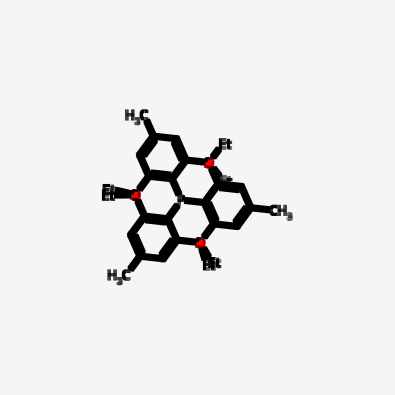 CCOc1cc(C)cc(OCC)c1P(c1c(OCC)cc(C)cc1OCC)c1c(OCC)cc(C)cc1OCC